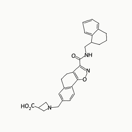 O=C(NCC1CCCc2ccccc21)c1noc2c1CCc1cc(CN3CC(C(=O)O)C3)ccc1-2